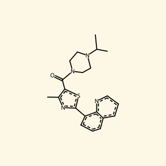 Cc1nc(-c2cccc3cccnc23)sc1C(=O)N1CCN(C(C)C)CC1